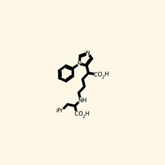 CC(C)CC(NCCCC(C(=O)O)c1cncn1-c1ccccc1)C(=O)O